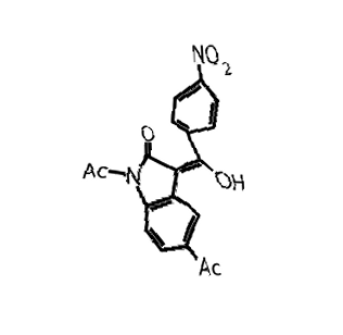 CC(=O)c1ccc2c(c1)C(=C(O)c1ccc([N+](=O)[O-])cc1)C(=O)N2C(C)=O